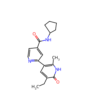 CCc1cc(-c2cc(C(=O)NC3CCCC3)ccn2)c(C)[nH]c1=O